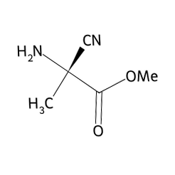 COC(=O)[C@](C)(N)C#N